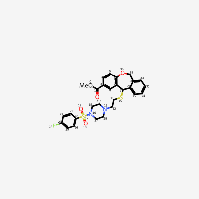 COC(=O)c1ccc2c(c1)C(SCCN1CCN(S(=O)(=O)c3ccc(F)cc3)CC1)c1ccccc1CO2